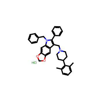 Cc1cccc(C)c1C1CCN(Cc2c(-c3ccccc3)n(Cc3ccccc3)c3cc4c(cc23)OCO4)CC1.Cl